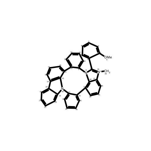 COc1ccccc1-c1n2c3ccccc3c3cccc4c5ccccc5n(c5ccccc5c5cccc(c52)[n+]1C)c34